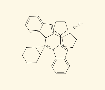 C1=C(C2CCCC2)[CH]([Zr+2]2([CH]3C(C4CCCC4)=Cc4ccccc43)[CH]3CCCC[CH]32)c2ccccc21.[Cl-].[Cl-]